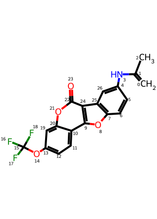 C=C(C)Nc1ccc2oc3c4ccc(OC(F)(F)F)cc4oc(=O)c3c2c1